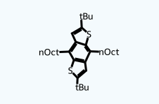 CCCCCCCCc1c2cc(C(C)(C)C)sc2c(CCCCCCCC)c2cc(C(C)(C)C)sc12